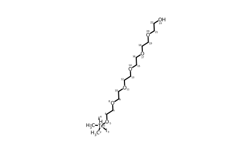 C[TeH](C)(I)(I)OCCOCCOCCOCCOCCOCCO